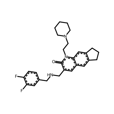 O=c1c(CNCc2ccc(F)c(F)c2)cc2cc3c(cc2n1CCN1CCCCC1)CCC3